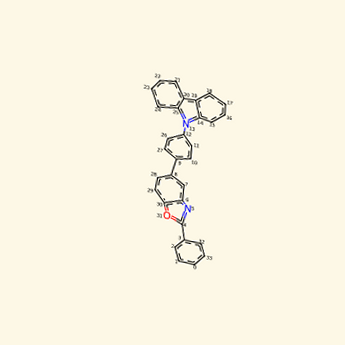 c1ccc(-c2nc3cc(-c4ccc(-n5c6ccccc6c6ccccc65)cc4)ccc3o2)cc1